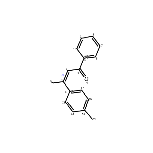 C/C(=C/C(=O)c1ccccc1)c1ccc(C)cc1